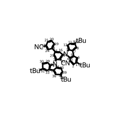 CC(C)(C)c1ccc2c(c1)c1cc(C(C)(C)C)ccc1n2-c1cc(-c2cccc(C#N)c2)cc(-n2c3ccc(C(C)(C)C)cc3c3cc(C(C)(C)C)ccc32)c1C#N